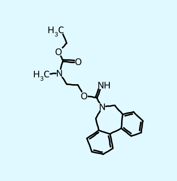 CCOC(=O)N(C)CCOC(=N)N1Cc2ccccc2-c2ccccc2C1